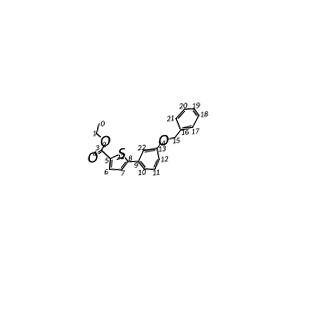 CCOC(=O)c1ccc(-c2cccc(OCc3ccccc3)c2)s1